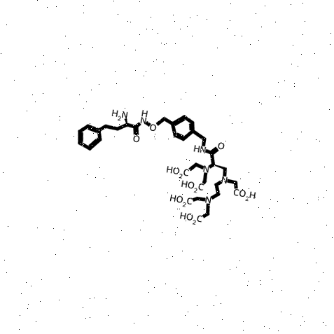 N[C@H](CCc1ccccc1)C(=O)NOCc1ccc(CNC(=O)[C@@H](CN(CCN(CC(=O)O)CC(=O)O)CC(=O)O)N(CC(=O)O)CC(=O)O)cc1